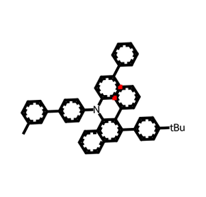 Cc1cccc(-c2ccc(N(c3ccc(-c4ccccc4)cc3)c3c(-c4ccccc4)c(-c4ccc(C(C)(C)C)cc4)cc4ccccc34)cc2)c1